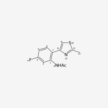 CC(=O)Nc1cc(F)ccc1-c1csc(C)n1